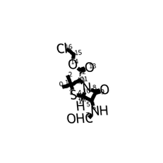 CC1(C)S[C@@H]2C(NC=O)C(=O)N2[C@H]1C(=O)OCCl